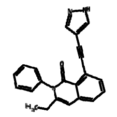 CCc1cc2cccc(C#Cc3cn[nH]c3)c2c(=O)n1-c1ccccc1